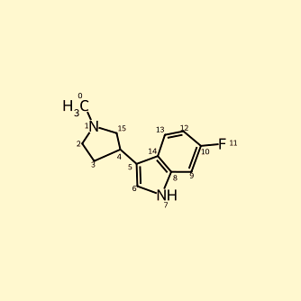 CN1CCC(c2c[nH]c3cc(F)ccc23)C1